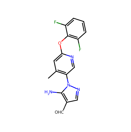 Cc1cc(Oc2c(F)cccc2F)ncc1-n1ncc(C=O)c1N